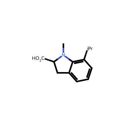 CC(C)c1cccc2c1N(C)C(C(=O)O)C2